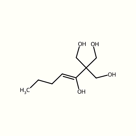 CCCC=C(O)C(CO)(CO)CO